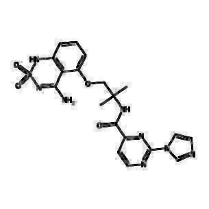 CC(C)(COc1cccc2c1C(N)=NS(=O)(=O)N2)NC(=O)c1ccnc(-n2ccnc2)n1